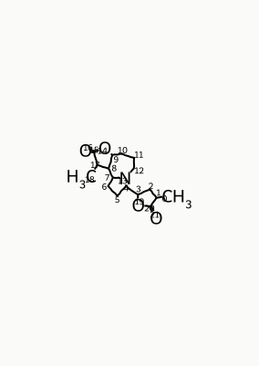 CC1CC(C2CCC3C4C(CCCN23)OC(=O)C4C)OC1=O